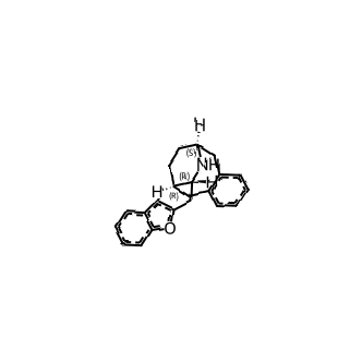 c1ccc2c(c1)C[C@@H]1CC[C@H](C2)[C@@H](Cc2cc3ccccc3o2)N1